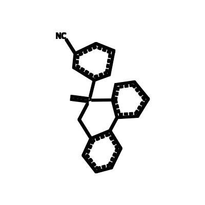 C=P1(c2cccc(C#N)c2)Cc2ccccc2-c2ccccc21